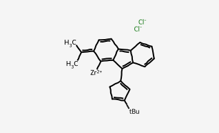 CC(C)=c1ccc2c([c]1[Zr+2])C(C1=CC(C(C)(C)C)=CC1)=c1ccccc1=2.[Cl-].[Cl-]